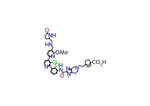 COc1nc(-c2ccnc(-c3cccc(NC(=O)c4nc5c(n4C)CCN(CCC46CCC(C(=O)O)(CC4)C6)C5)c3Cl)c2Cl)ccc1CNCC1CCC(=O)N1